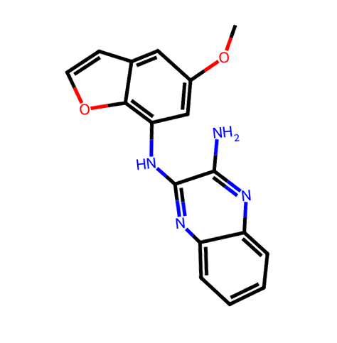 COc1cc(Nc2nc3ccccc3nc2N)c2occc2c1